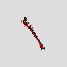 CCCN(OCCNC(=O)COC(F)(F)F)C(=O)C1=Cc2ccc(-c3cnc(CNC(=O)CCOCCOCCOCCOCCOCCOCCOCCOCCOCCOCCC(=O)Oc4c(F)c(F)c(S)c(F)c4F)nc3)cc2N=C(N)C1